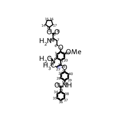 C=Nc1cc(OCC[C@H](N)C(=O)OC2CCCC2)c(OC)cc1/C(=C\C)Oc1ccc(NC(=O)c2ccccc2)cc1